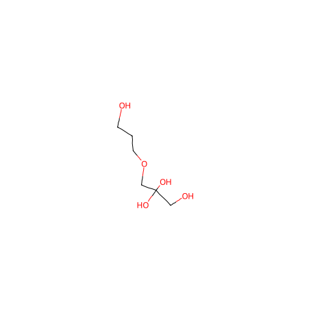 OCCCOCC(O)(O)CO